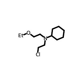 CCOCCN(CCCl)C1CCCCC1